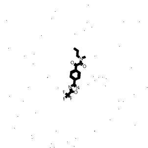 CCCN(C)C(=O)C(=O)c1ccc(-c2noc(C(F)(F)F)n2)cc1